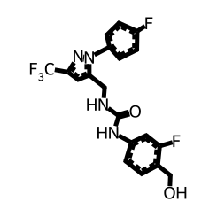 O=C(NCc1cc(C(F)(F)F)nn1-c1ccc(F)cc1)Nc1ccc(CO)c(F)c1